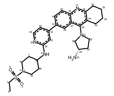 CCS(=O)(=O)N1CCC(Nc2cc(-c3ccc4nc5c(c(N6CC[C@H](N)C6)c4c3)CCCC5)ccn2)CC1